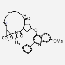 CCOC(=O)C12CC1/C=C/CCCCNC(=O)C1CC(Oc3cc(-c4ccccc4)nc4cc(OC)ccc34)CC1C(=O)N2C